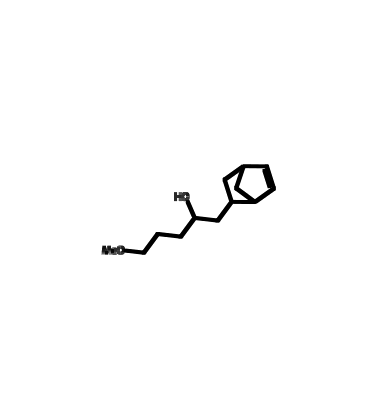 COCCCC(O)CC1CC2C=CC1C2